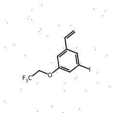 C=[C]c1cc(I)cc(OCC(F)(F)F)c1